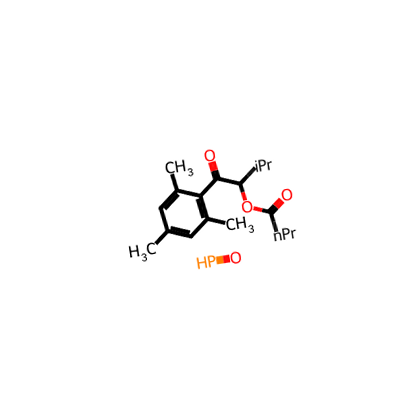 CCCC(=O)OC(C(=O)c1c(C)cc(C)cc1C)C(C)C.O=P